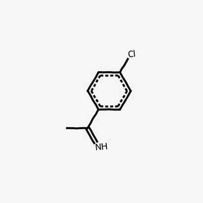 CC(=N)c1ccc(Cl)cc1